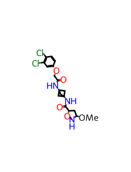 COC1CC(C(=O)NC23CC(NC(=O)COc4ccc(Cl)c(Cl)c4)(C2)C3)ON1